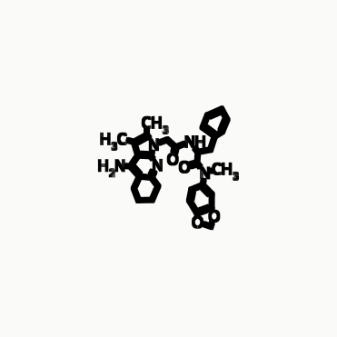 Cc1c(C)n(CC(=O)NC(Cc2ccccc2)C(=O)N(C)c2ccc3c(c2)OCO3)c2nc3c(c(N)c12)CCCC3